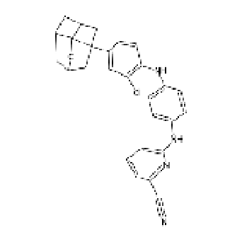 N#Cc1cccc(Nc2ccc(Nc3ccc(C45CC6CC7CC(C4)C75C6)cc3Cl)cc2)n1